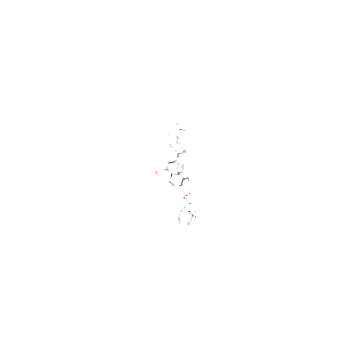 CC(C)NC1=NC(c2cc(O)c3ccc(OCCN4CCOCC4(C)C)c(Cl)c3n2)CO1